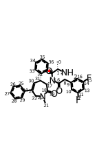 C[C@H](N)C(=O)N(C(=O)Cc1cc(F)cc(F)c1)[C@@H]1C(=O)N(C)CC(c2ccccc2)=C[C@@H]1c1ccccc1